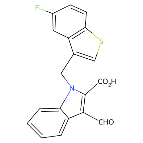 O=Cc1c(C(=O)O)n(Cc2csc3ccc(F)cc23)c2ccccc12